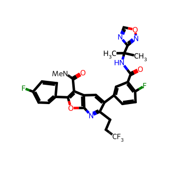 CNC(=O)c1c(-c2ccc(F)cc2)oc2nc(CCC(F)(F)F)c(-c3ccc(F)c(C(=O)NC(C)(C)c4ncon4)c3)cc12